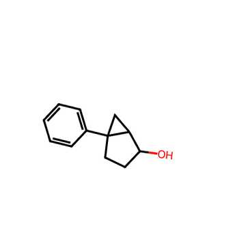 OC1CCC2(c3ccccc3)CC12